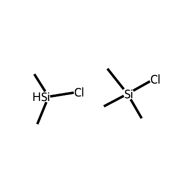 C[SiH](C)Cl.C[Si](C)(C)Cl